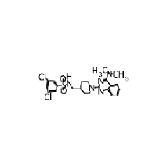 CN(C)c1nc(N2CCC(CNS(=O)(=O)c3cc(Cl)cc(Cl)c3)CC2)nc2ccccc12